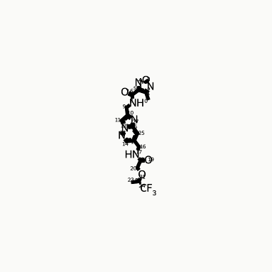 Cc1nonc1C(=O)NCc1cn2ncc(CNC(=O)CO[C@H](C)C(F)(F)F)cc2n1